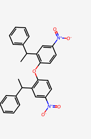 CC(c1ccccc1)c1cc([N+](=O)[O-])ccc1Oc1ccc([N+](=O)[O-])cc1C(C)c1ccccc1